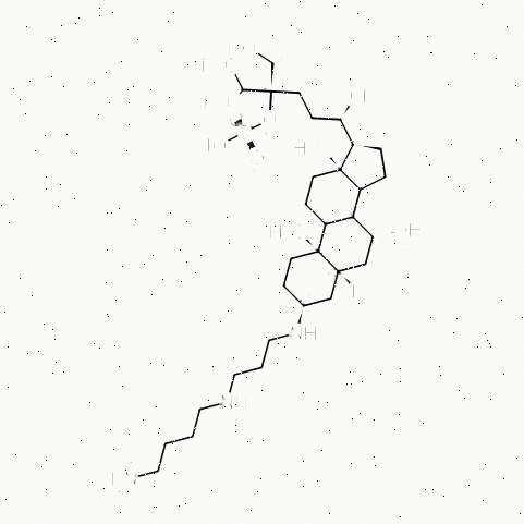 CC(C)[C@](CO)(CC[C@@H](C)[C@H]1CCC2C3C(CC[C@@]21C)[C@@]1(C)CC[C@H](NCCCNCCCCN)C[C@H]1C[C@H]3O)OS(=O)(=O)O